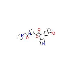 O=C1CCc2cc(C3=C(c4ccncc4)OC(C4CCCN(C(=O)CN5CCCCC5)C4)C3=O)ccc21